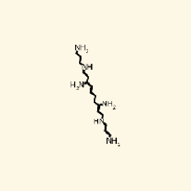 NCCCNCCC(N)CCCCC(N)CCNCCCN